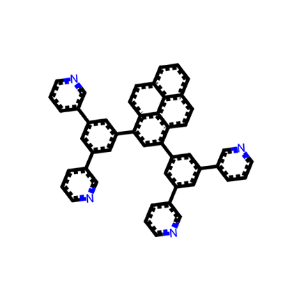 c1cncc(-c2cc(-c3cccnc3)cc(-c3cc(-c4cc(-c5cccnc5)cc(-c5cccnc5)c4)c4ccc5cccc6ccc3c4c65)c2)c1